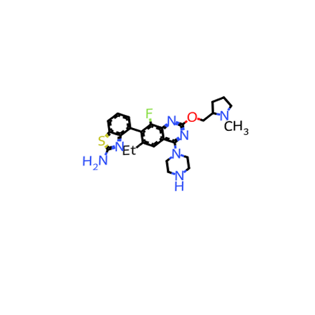 CCc1cc2c(N3CCNCC3)nc(OCC3CCCN3C)nc2c(F)c1-c1cccc2sc(N)nc12